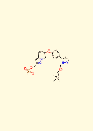 C[Si](C)(C)CCOCn1nccc1-c1ccc(Oc2ccc3cc(COS(C)(=O)=O)nn3c2)cc1